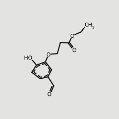 CCOC(=O)CCOc1cc(C=O)ccc1O